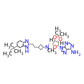 CCC(C)(C)c1ccc2nc(CCC3CC(N(C)C[C@H]4O[C@@H](n5cnc6c(N)ncnc65)[C@@H]5OC(C)(C)O[C@@H]54)C3)[nH]c2c1